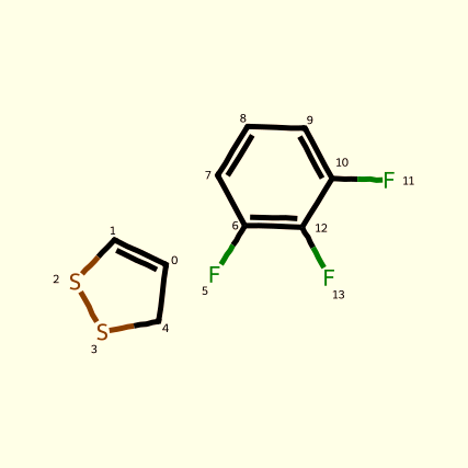 C1=CSSC1.Fc1cccc(F)c1F